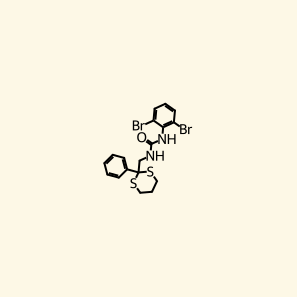 O=C(NCC1(c2ccccc2)SCCCS1)Nc1c(Br)cccc1Br